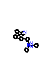 c1ccc(-c2nc(-c3ccccc3)nc(-c3cccc(-c4ccc5c(c4)C4(c6ccccc6-c6cnccc64)c4ccccc4-5)c3)n2)cc1